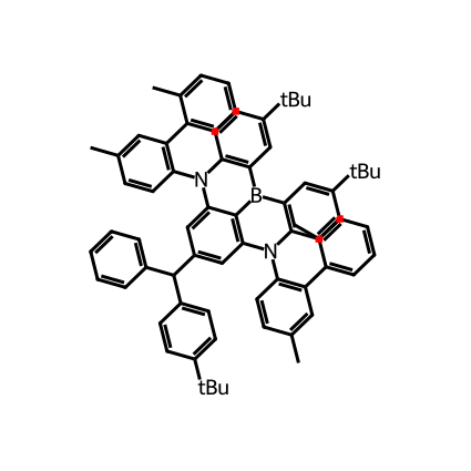 Cc1ccc(N2c3ccc(C(C)(C)C)cc3B3c4cc(C(C)(C)C)ccc4N(c4ccc(C)cc4-c4ccccc4C)c4cc(C(c5ccccc5)c5ccc(C(C)(C)C)cc5)cc2c43)c(-c2ccccc2C)c1